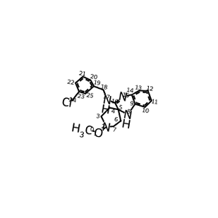 CON1CCC2(CC1)Nc1ccccc1N=C2NCc1cccc(Cl)c1